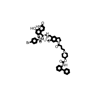 COc1cc2c(cc1CNC[C@H](OS(=O)(=O)c1ccc(Br)cc1)c1ccc(O)c3[nH]c(=O)ccc13)CCN2C(=O)CCCN1CCC(OC(=O)Nc2ccccc2-c2ccccc2)CC1